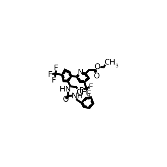 CCOC(=O)Cc1cc(C(F)(F)F)cc(-c2ccc(C(F)(F)F)cc2C(CC)NC(=O)NCc2ccccc2)n1